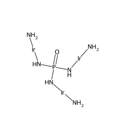 [NH2][Ir][NH]P(=O)([NH][Ir][NH2])[NH][Ir][NH2]